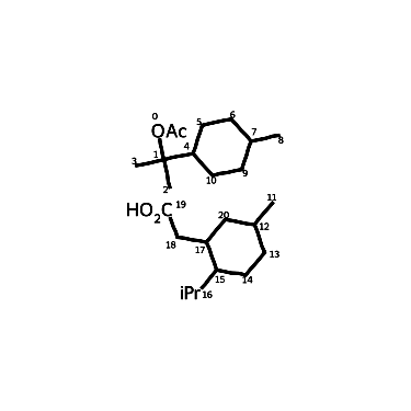 CC(=O)OC(C)(C)C1CCC(C)CC1.CC1CCC(C(C)C)C(CC(=O)O)C1